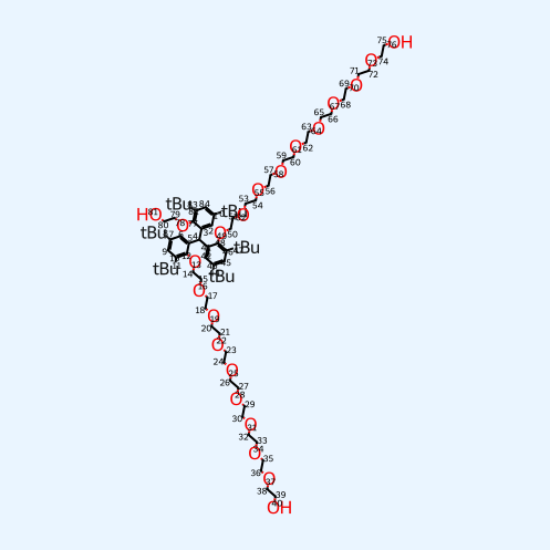 CC(C)(C)c1cc(C(c2cc(C(C)(C)C)cc(C(C)(C)C)c2OCCOCCOCCOCCOCCOCCOCCOCCOCCO)c2cc(C(C)(C)C)cc(C(C)(C)C)c2OCCOCCOCCOCCOCCOCCOCCOCCOCCO)c(OCCO)c(C(C)(C)C)c1